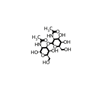 CC(=O)N[C@@H]1[C@@H](OC2O[C@H](CO)[C@H](O)[C@H](O)[C@H]2NC(C)=O)[C@@H](O)[C@@H](CO)O[C@@H]1O